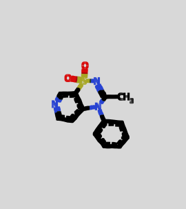 CC1=NS(=O)(=O)c2cnccc2N1c1ccccc1